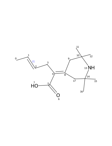 C/C=C/CC(C(=O)O)=C1CC(C)(C)NC(C)(C)C1